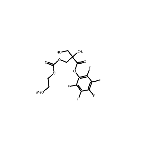 COCCOC(=O)OCC(C)(CO)C(=O)Oc1c(F)c(F)c(F)c(F)c1F